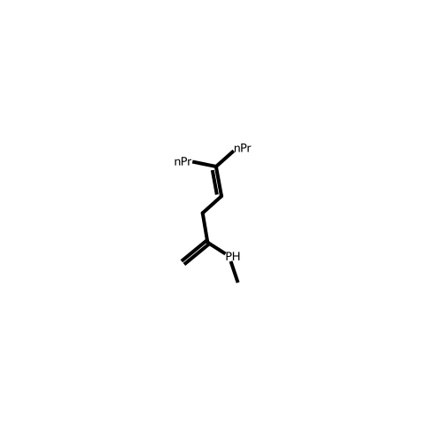 C=C(CC=C(CCC)CCC)PC